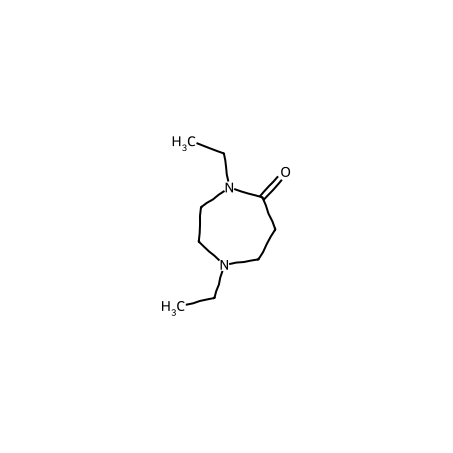 CCN1CCC(=O)N(CC)CC1